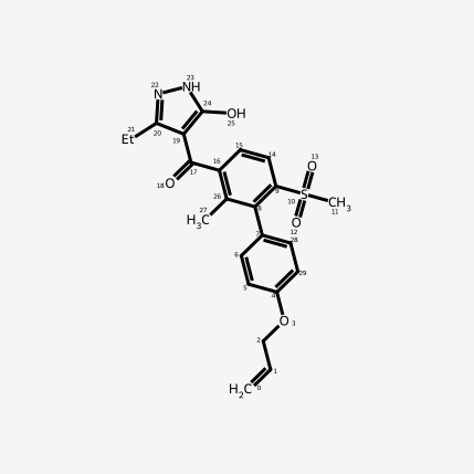 C=CCOc1ccc(-c2c(S(C)(=O)=O)ccc(C(=O)c3c(CC)n[nH]c3O)c2C)cc1